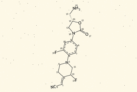 N#CC=C1CCN(c2ccc(N3C[C@H](CN)OC3=O)cc2F)CC1F